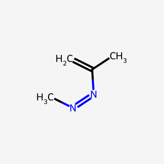 C=C(C)/N=N\C